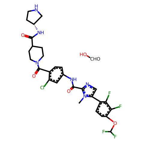 Cn1c(-c2ccc(OC(F)F)c(F)c2F)cnc1C(=O)Nc1ccc(C(=O)N2CCC(C(=O)N[C@@H]3CCNC3)CC2)c(Cl)c1.O=CO